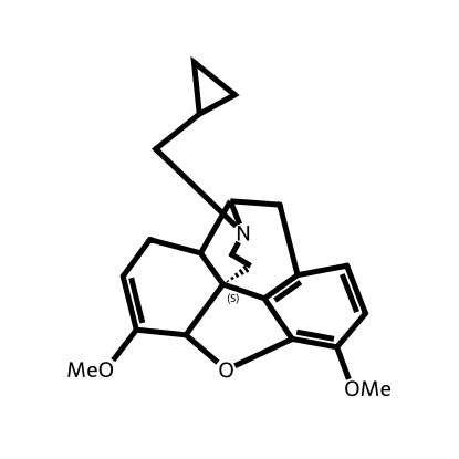 COC1=CCC2C3Cc4ccc(OC)c5c4[C@@]2(CCN3CC2CC2)C1O5